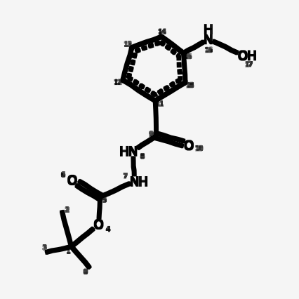 CC(C)(C)OC(=O)NNC(=O)c1cccc(NO)c1